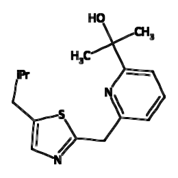 CC(C)Cc1cnc(Cc2cccc(C(C)(C)O)n2)s1